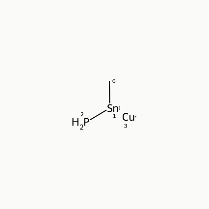 [CH3][Sn][PH2].[Cu]